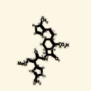 CO/N=C(/C(=O)N[C@@H]1C(=O)N2C(C(=O)O)=C(/C=C\c3ncsc3C)CCC12)c1csc(N)n1